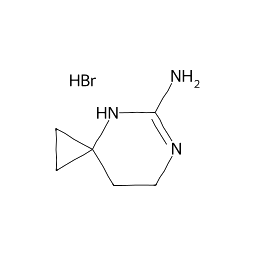 Br.NC1=NCCC2(CC2)N1